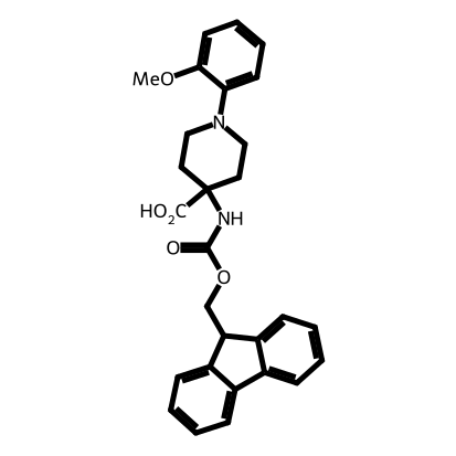 COc1ccccc1N1CCC(NC(=O)OCC2c3ccccc3-c3ccccc32)(C(=O)O)CC1